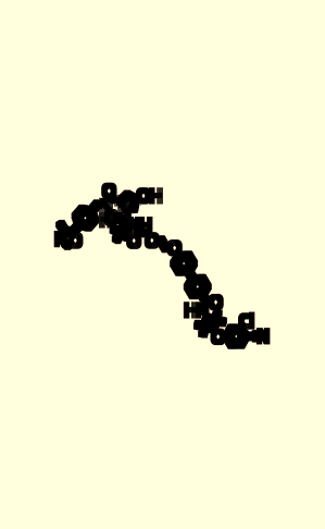 Cc1ncoc1-c1ccc(CNC(=O)[C@@H]2C[C@@H](O)CN2C(=O)C(NC(=O)COCCOc2ccc(-c3ccc(C(=O)N[C@H]4C(C)(C)[C@H](Oc5ccc(C#N)c(Cl)c5)C4(C)C)cc3)cc2)C(C)(C)C)cc1